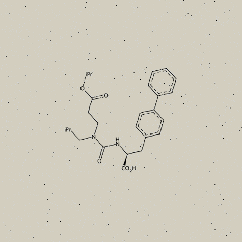 CC(C)CN(CCC(=O)OC(C)C)C(=O)N[C@@H](Cc1ccc(-c2ccccc2)cc1)C(=O)O